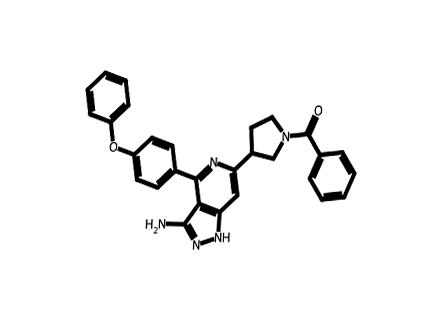 Nc1n[nH]c2cc(C3CCN(C(=O)c4ccccc4)C3)nc(-c3ccc(Oc4ccccc4)cc3)c12